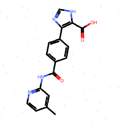 Cc1ccnc(NC(=O)c2ccc(-c3nc[nH]c3C(=O)O)cc2)c1